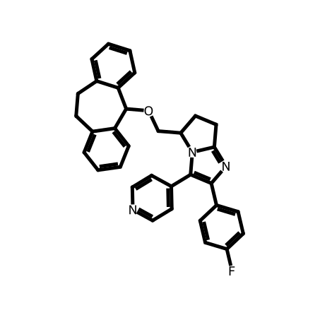 Fc1ccc(-c2nc3n(c2-c2ccncc2)C(COC2c4ccccc4CCc4ccccc42)CC3)cc1